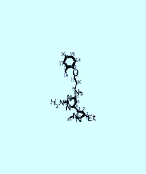 CCc1cc(-c2cc(N(C)CCCOc3ccccc3C)nc(N)n2)n(C)n1